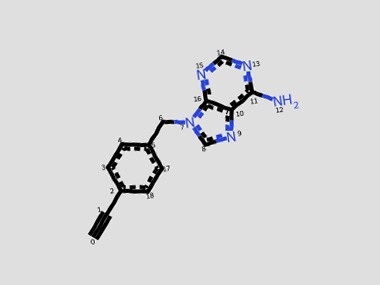 C#Cc1ccc(Cn2cnc3c(N)ncnc32)cc1